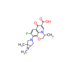 CC1COc2c(N3CC4N(C)C4(C)C3)c(F)cc3c(=O)c(C(=O)O)cn1c23